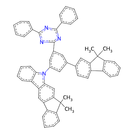 CC1(C)c2ccccc2-c2ccc(-c3cc(-c4nc(-c5ccccc5)nc(-c5ccccc5)n4)cc(-n4c5ccccc5c5cc6c(cc54)C(C)(C)c4ccccc4-6)c3)cc21